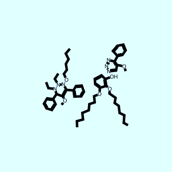 CCCCCCCCOc1cccc(O)c1OCCCCCCCC.CCCCCCON1C(c2ccccc2)=C(OC)C(c2ccccc2)N(CC)N1CC.COc1cnnnc1-c1ccccc1